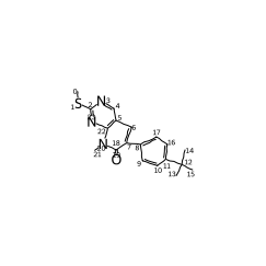 CSc1ncc2cc(-c3ccc(C(C)(C)C)cc3)c(=O)n(C)c2n1